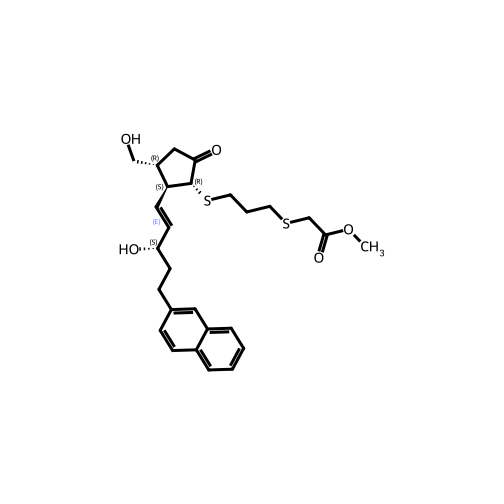 COC(=O)CSCCCS[C@H]1C(=O)C[C@@H](CO)[C@@H]1/C=C/[C@@H](O)CCc1ccc2ccccc2c1